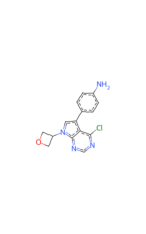 Nc1ccc(-c2cn(C3COC3)c3ncnc(Cl)c23)cc1